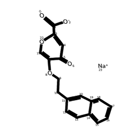 O=C([O-])c1cc(=O)c(OCCc2ccc3ccccc3c2)co1.[Na+]